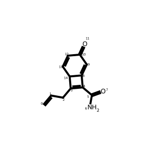 C=CCC1=C(C(N)=O)C2=CC(=O)C=CC21